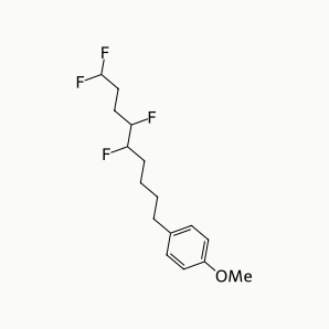 COc1ccc(CCCCC(F)C(F)CCC(F)F)cc1